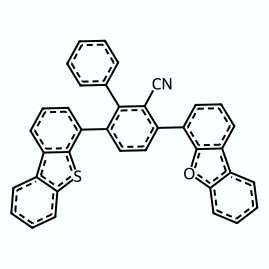 N#Cc1c(-c2cccc3c2oc2ccccc23)ccc(-c2cccc3c2sc2ccccc23)c1-c1ccccc1